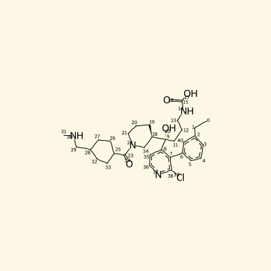 CCc1cccc(-c2c([C@](O)(CCCNC(=O)O)[C@@H]3CCCN(C(=O)C4CCC(CNC)CC4)C3)ccnc2Cl)c1